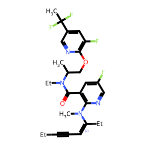 CCC#C/C=C(/CC)N(C)c1ncc(F)cc1C(=O)N(CC)C(C)COc1ncc(C(C)(F)F)cc1F